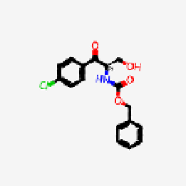 O=C(N[C@H](CO)C(=O)c1ccc(Cl)cc1)OCc1ccccc1